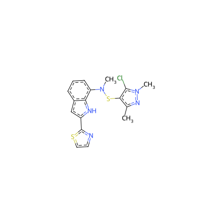 Cc1nn(C)c(Cl)c1SN(C)c1cccc2cc(-c3nccs3)[nH]c12